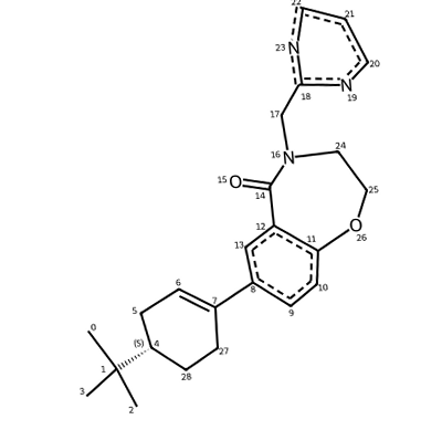 CC(C)(C)[C@@H]1CC=C(c2ccc3c(c2)C(=O)N(Cc2ncccn2)CCO3)CC1